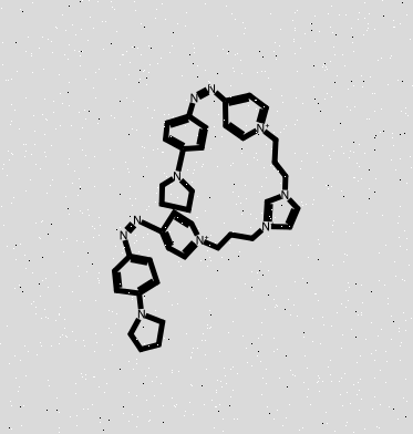 c1cc(N2CCCC2)ccc1/N=N\c1cc[n+](CCCn2cc[n+](CCC[n+]3ccc(/N=N\c4ccc(N5CCCC5)cc4)cc3)c2)cc1